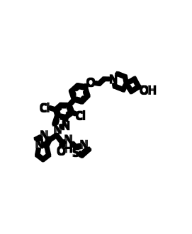 O=C(Nc1nccs1)C(c1ncn2c1CCC2)n1cc2c(Cl)cc(-c3ccc(OCCN4CCC5(CC4)CC(O)C5)cc3)c(Cl)c2n1